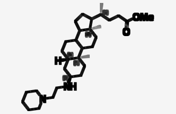 COC(=O)CC[C@@H](C)C1CCC2C3CC[C@H]4C[C@H](NCCN5CCCCC5)CC[C@]4(C)C3CC[C@@]21C